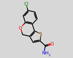 NC(=O)c1cc2c(s1)-c1ccc(Cl)cc1OC2